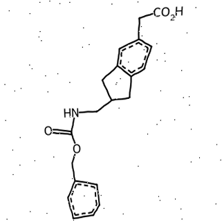 O=C(O)Cc1ccc2c(c1)CC(CNC(=O)OCc1ccccc1)C2